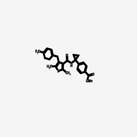 COC(=O)c1ccc(C2(NC(=O)c3c(C)sc(C)c3CC3=CC=C(C(F)(F)F)CC3)CC2)cc1